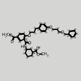 COC(=O)c1ccc(OCCCc2ccc(OCCCOCc3ccccc3)cc2)c(C(=O)NC2CCCC(C(=O)OC)C2)c1